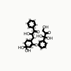 O=C(CO)C(O)(O)c1ccccc1.O=C(c1ccccc1)C(O)CC1=CCC(O)(O)C=C1O